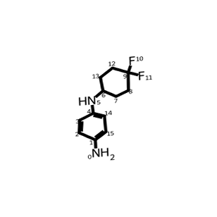 Nc1ccc(NC2CCC(F)(F)CC2)cc1